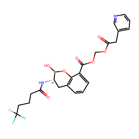 O=C(CCCC(F)(F)F)N[C@H]1Cc2cccc(C(=O)OCOC(=O)Cc3cccnc3)c2OB1O